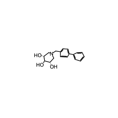 O[C@H]1[C@H](O)CN(Cc2ccc(-c3ccccc3)cc2)C[C@@H]1O